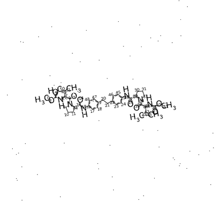 COC(=O)N[C@H](C(=O)N1CCC[C@H]1C(=O)Nc1ccc(CCc2ccc(NC(=O)[C@@H]3CCCN3C(=O)[C@@H](NC(=O)OC)C(C)C)cc2)cc1)C(C)C